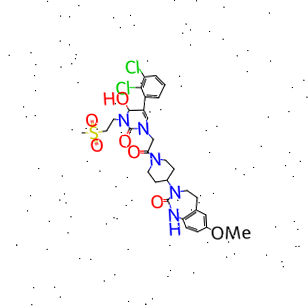 COc1ccc2c(c1)CCN(C1CCN(C(=O)CN3C=C(c4cccc(Cl)c4Cl)C(O)N(CCS(C)(=O)=O)C3=O)CC1)C(=O)N2